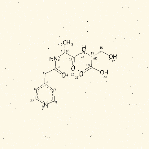 C[C@@H](NC(=O)Cc1ccncc1)C(=O)N[C@H](CO)C(=O)O